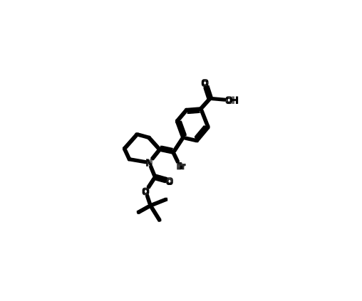 CC(C)(C)OC(=O)N1CCCC/C1=C(/Br)c1ccc(C(=O)O)cc1